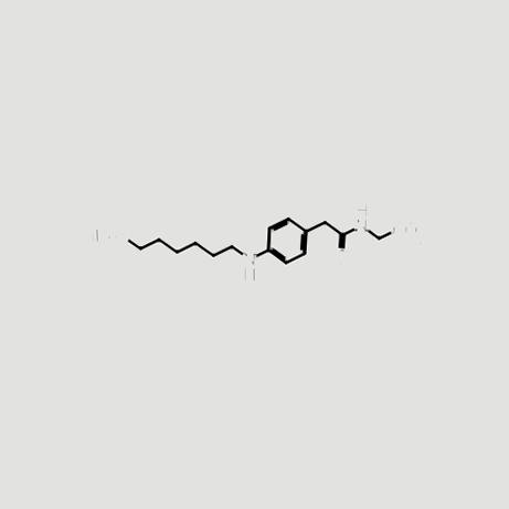 CCCCCCCCCCCCCCCCNc1ccc(CC(=O)NCC(=O)O)cc1